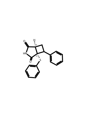 O=C1NC(=O)[C@]2(Sc3ccccc3)C(c3ccccc3)C[C@H]12